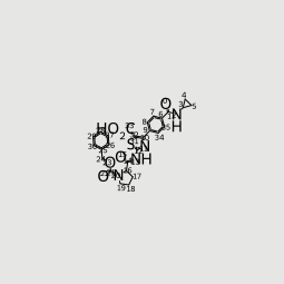 O=C(NC1CC1)c1ccc(-c2nc(NC(=O)C3CCCN3C(=O)OCc3ccccc3)sc2C(=O)O)cc1